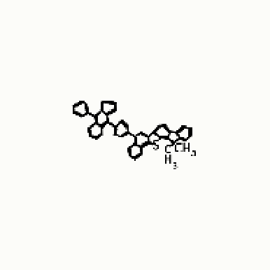 CC1(C)c2ccccc2-c2ccc3c(sc4c5ccccc5c(-c5ccc(-c6c7ccccc7c(-c7ccccc7)c7ccccc67)cc5)cc34)c21